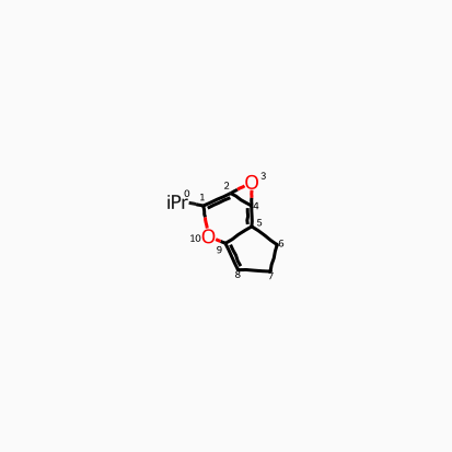 CC(C)C1=C2OC2=C2CCC=C2O1